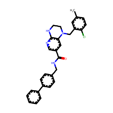 Cc1ccc(Cl)c(CN2CCNc3ncc(C(=O)NCc4ccc(-c5ccccc5)cc4)cc32)c1